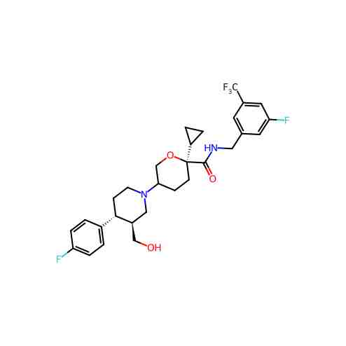 O=C(NCc1cc(F)cc(C(F)(F)F)c1)[C@@]1(C2CC2)CCC(N2CC[C@@H](c3ccc(F)cc3)[C@H](CO)C2)CO1